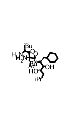 CCC(C)C(N)C(=O)C(N)(C(=O)N(C(C)=O)[C@@H](CC1CCCCC1)[C@@H](O)[C@@H](O)CC(C)C)C(C)CC